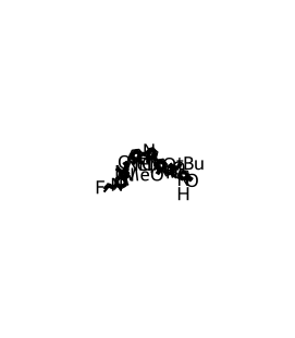 COc1nc(-c2ccnc(-c3cccc(NC(=O)c4nc5c(n4C)CN(CCCF)CC5)c3Cl)c2Cl)ccc1CN(C[C@@H]1CCC(=O)N1)C(=O)OC(C)(C)C